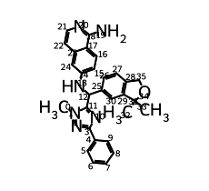 Cn1nc(-c2ccccc2)nc1C(Nc1ccc2c(N)nccc2c1)c1ccc2c(c1)C(C)(C)OC2